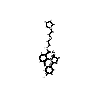 Cc1cccc(C(=O)OCCOCCN2CCCC2)c1N1C(=O)CSC1c1ccc(F)cc1